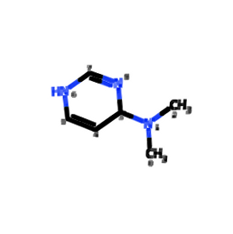 CN(C)[C]1C=CNC=N1